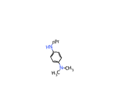 CCCNc1ccc(N(C)C)cc1